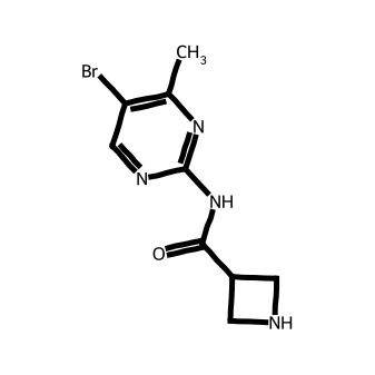 Cc1nc(NC(=O)C2CNC2)ncc1Br